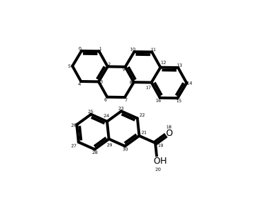 C1=CC2=C(CC1)CCc1c2ccc2ccccc12.O=C(O)c1ccc2ccccc2c1